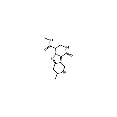 CNC(=O)C1CNC(=O)c2c3c(nn21)CC(C)NC3